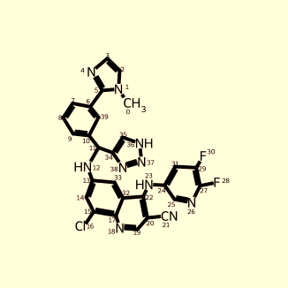 Cn1ccnc1-c1cccc(C(Nc2cc(Cl)c3ncc(C#N)c(Nc4cnc(F)c(F)c4)c3c2)c2c[nH]nn2)c1